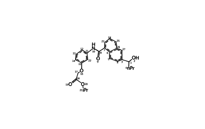 CCCC(O)c1ccc2c(C(=O)Nc3cccc(OCC(=O)OC(C)C)c3)cccc2c1